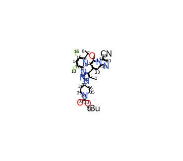 Cc1c(-c2cc(OC(C)c3ncc(F)cc3F)n3c(C#N)cnc3c2)nnn1C1CCN(C(=O)OC(C)(C)C)CC1